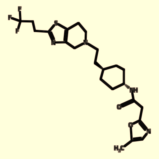 Cc1cnc(CC(=O)N[C@H]2CC[C@H](CCN3CCc4sc(CCC(F)(F)F)nc4C3)CC2)o1